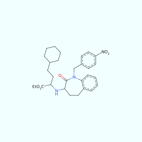 CCOC(=O)C(CCC1CCCCC1)NC1CCc2ccccc2N(Cc2ccc([N+](=O)[O-])cc2)C1=O